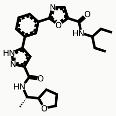 CCC(CC)NC(=O)c1cnc(-c2cccc(-c3cc(C(=O)N[C@@H](C)C4CCCO4)n[nH]3)c2)o1